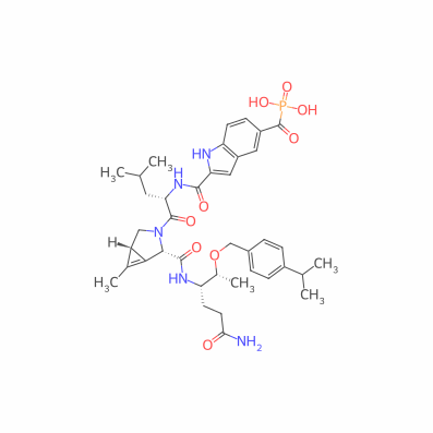 CC1=C2[C@H]1CN(C(=O)[C@H](CC(C)C)NC(=O)c1cc3cc(C(=O)P(=O)(O)O)ccc3[nH]1)[C@@H]2C(=O)N[C@@H](CCC(N)=O)[C@@H](C)OCc1ccc(C(C)C)cc1